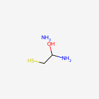 N.NC(O)CS